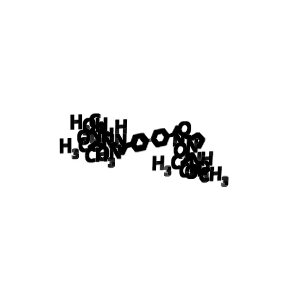 CCCCN(C(=O)[C@@H](NC(=O)O)C(C)C)c1ncc(-c2ccc([C@H]3CC[C@H](c4coc(C5CCCN5C(=O)[C@@H](NC(=O)OC)C(C)C)n4)CC3)cc2)[nH]1